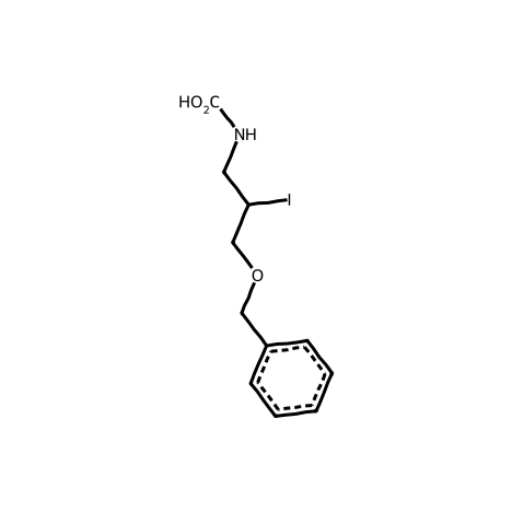 O=C(O)NCC(I)COCc1ccccc1